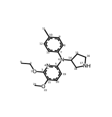 CCOc1nc(N(c2ccc(C)cc2)C2CCNC2)ccc1OC